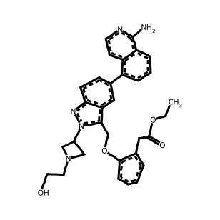 CCOC(=O)Cc1ccccc1OCc1c2cc(-c3cccc4c(N)nccc34)ccc2nn1C1CN(CCO)C1